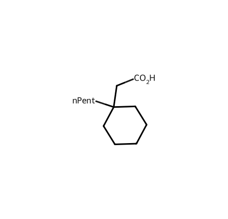 CCCCCC1(CC(=O)O)CCCCC1